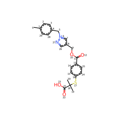 Cc1ccc(Cn2cc(COC(=O)c3ccc(SC(C)(C)C(=O)O)cc3)cn2)cc1